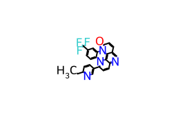 CCc1ccc(-c2ccc3ncc4ccc(=O)n(-c5cccc(C(F)(F)F)c5)c4c3n2)cn1